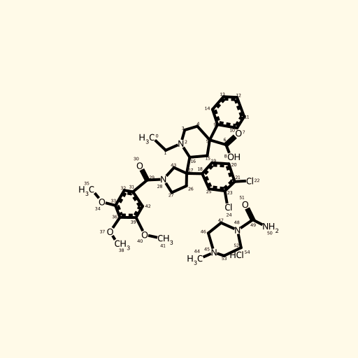 CCN1CCC(C(=O)O)(c2ccccc2)CC1C1(c2ccc(Cl)c(Cl)c2)CCN(C(=O)c2cc(OC)c(OC)c(OC)c2)C1.CN1CCN(C(N)=O)CC1.Cl